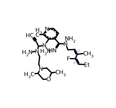 C#CC(N(N)CCN1CC(C)OCC1C)N(N)c1c(C(=N)N(N)C/C=C(C)\C(F)=C/CC)ccnc1C